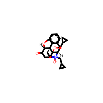 O=C1CC[C@@]2(OCC3CC3)[C@H]3Cc4cccc5c4[C@@]2(CC[N+]3([O-])CC2CC2)[C@H]1O5